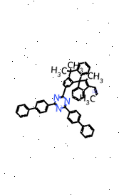 C/C=C\C1=C(C)C2(c3ccccc31)c1ccccc1C(C)(C)c1ccc(-c3nc(-c4ccc(-c5ccccc5)cc4)nc(-c4ccc(-c5ccccc5)cc4)n3)cc12